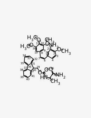 COc1ccc(/C=C\c2cc(OC)c(OC)c(OC)c2)cc1N.C[C@H](NC(=O)OCC1c2ccccc2-c2ccccc21)C(N)=O